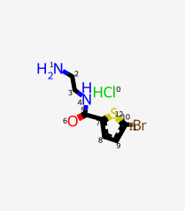 Cl.NCCNC(=O)c1ccc(Br)s1